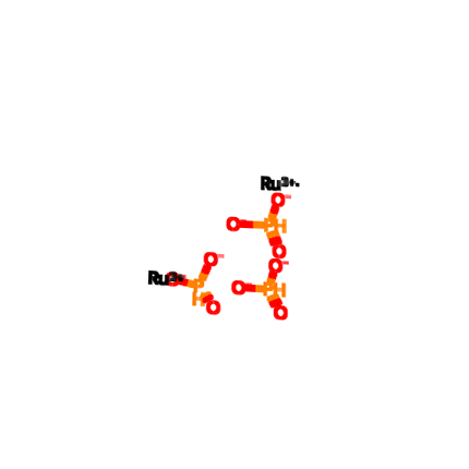 O=[PH]([O-])[O-].O=[PH]([O-])[O-].O=[PH]([O-])[O-].[Ru+3].[Ru+3]